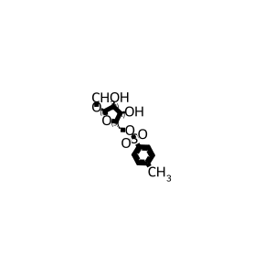 CO[C@@H]1O[C@@H](COS(=O)(=O)c2ccc(C)cc2)[C@H](O)[C@H]1O